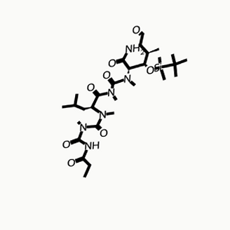 CCC(=O)NC(=O)N(C)C(=O)N(C)[C@@H](CC(C)C)C(=O)N(C)C(=O)N(C)[C@H](C(N)=O)[C@H](O[Si](C)(C)C(C)(C)C)[C@H](C)CC=O